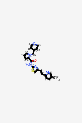 O=C(Nc1nc(/C=C/c2ccc(C(F)(F)F)cn2)cs1)c1cccn1Cc1ccncc1